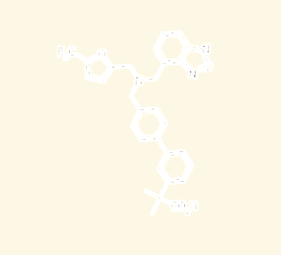 CC(C)(C(=O)O)c1cccc(-c2ccc(CN(Cc3ccc(C(F)(F)F)o3)Cc3cccc4nonc34)cc2)c1